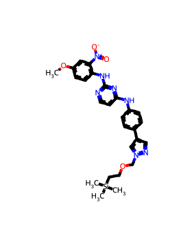 COc1ccc(Nc2nccc(Nc3ccc(-c4cnn(COCC[Si](C)(C)C)c4)cc3)n2)c([N+](=O)[O-])c1